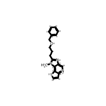 Cn1c(CCCOCc2ccccc2)nc2cnc3ccsc3c21